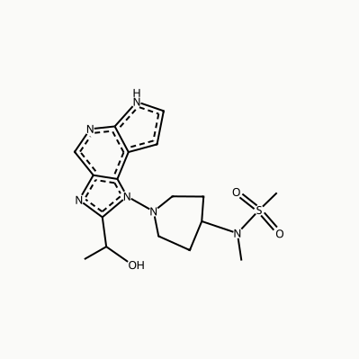 CC(O)c1nc2cnc3[nH]ccc3c2n1N1CCC(N(C)S(C)(=O)=O)CC1